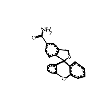 NC(=O)c1ccc2c(c1)COC21c2ccccc2Oc2ccccc21